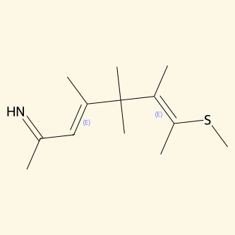 CS/C(C)=C(\C)C(C)(C)/C(C)=C/C(C)=N